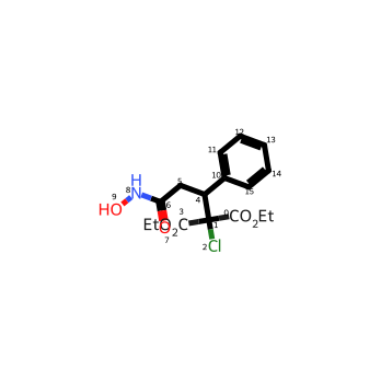 CCOC(=O)C(Cl)(C(=O)OCC)C(CC(=O)NO)c1ccccc1